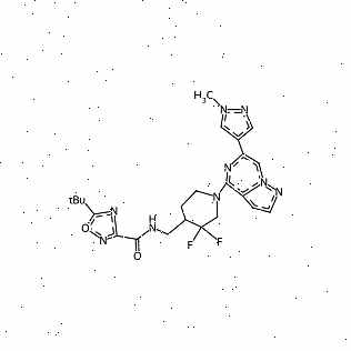 Cn1cc(-c2cn3nccc3c(N3CCC(CNC(=O)c4noc(C(C)(C)C)n4)C(F)(F)C3)n2)cn1